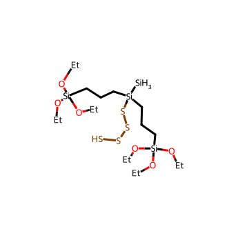 CCO[Si](CCC[Si]([SiH3])(CCC[Si](OCC)(OCC)OCC)SSSS)(OCC)OCC